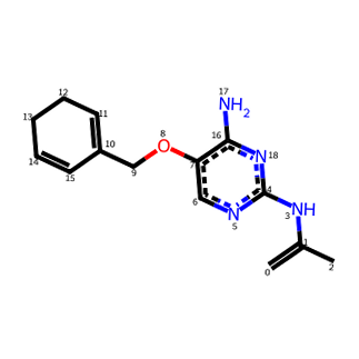 C=C(C)Nc1ncc(OCC2=CCCC=C2)c(N)n1